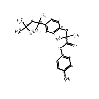 Cc1ccc(OC(=O)C(C)(C)Oc2ccc(C(C)(C)CC(C)(C)C)cc2)cc1